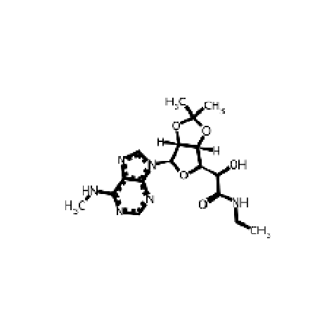 CCNC(=O)C(O)[C@H]1O[C@@H](n2cnc3c(NC)ncnc32)[C@@H]2OC(C)(C)O[C@@H]21